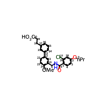 CCCOc1ccc(C(=O)NCc2cc(-c3cccc(CCC(=O)O)c3)ccc2OC)c(Cl)c1